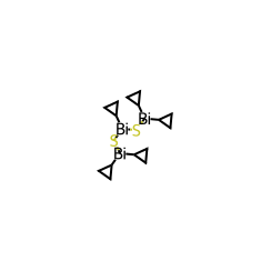 C1C[CH]1[Bi]([S][Bi]([CH]1CC1)[CH]1CC1)[S][Bi]([CH]1CC1)[CH]1CC1